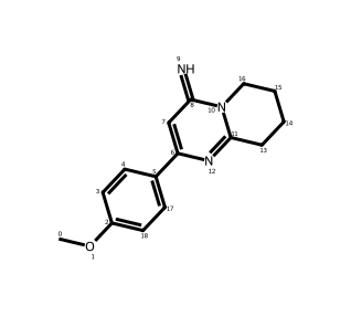 COc1ccc(-c2cc(=N)n3c(n2)CCCC3)cc1